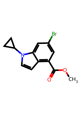 COC(=O)c1cc(Br)cc2c1ccn2C1CC1